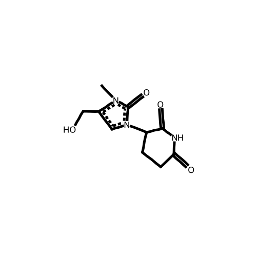 Cn1c(CO)cn(C2CCC(=O)NC2=O)c1=O